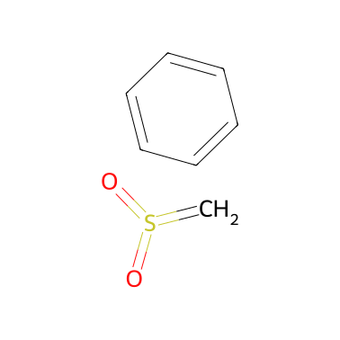 C=S(=O)=O.c1ccccc1